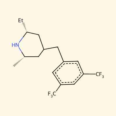 CC[C@@H]1CC(Cc2cc(C(F)(F)F)cc(C(F)(F)F)c2)C[C@H](C)N1